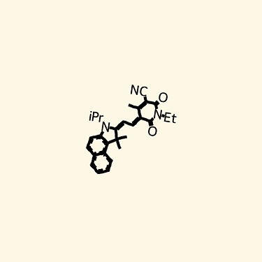 CCN1C(=O)C(C#N)=C(C)/C(=C\C=C2\N(C(C)C)c3ccc4ccccc4c3C2(C)C)C1=O